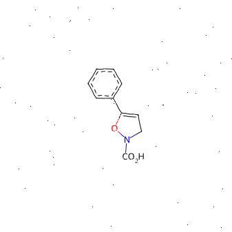 O=C(O)N1CC=C(c2ccccc2)O1